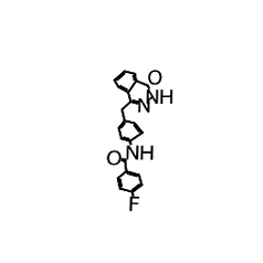 O=C(Nc1ccc(Cc2n[nH]c(=O)c3ccccc23)cc1)c1ccc(F)cc1